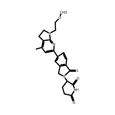 Cc1cc(-c2ccc3c(c2)CN(C2CCC(=O)NC2=O)C3=O)nc2c1CCN2CCOC=O